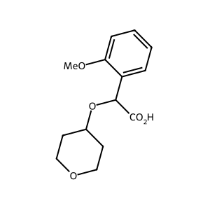 COc1ccccc1C(OC1CCOCC1)C(=O)O